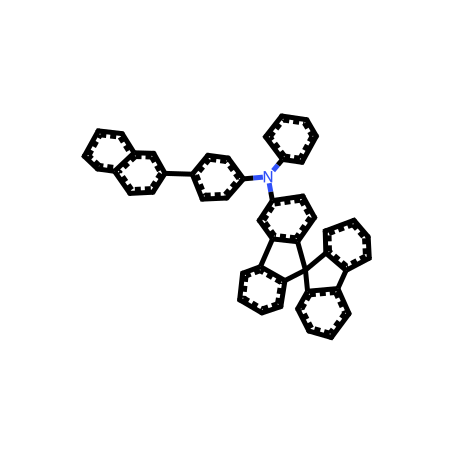 c1ccc(N(c2ccc(-c3ccc4ccccc4c3)cc2)c2ccc3c(c2)-c2ccccc2C32c3ccccc3-c3ccccc32)cc1